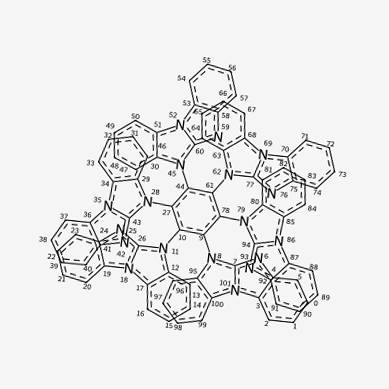 c1ccc2c(c1)nc1n(-c3c(-n4c5ccccc5n5c6ccccc6nc45)c(-n4c5ccccc5n5c6ccccc6nc45)c(-n4c5ccccc5n5c6ccccc6nc45)c(-n4c5ccccc5n5c6ccccc6nc45)c3-n3c4ccccc4n4c5ccccc5nc34)c3ccccc3n21